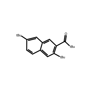 CC(C)(C)C(=O)c1cc2cc(C(C)(C)C)ccc2cc1C(C)(C)C